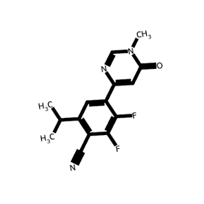 CC(C)c1cc(-c2cc(=O)n(C)cn2)c(F)c(F)c1C#N